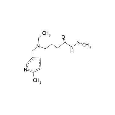 CCN(CCCC(=O)NSC)Cc1ccc(C)nc1